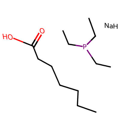 CCCCCCC(=O)O.CCP(CC)CC.[NaH]